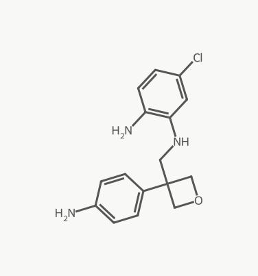 Nc1ccc(C2(CNc3cc(Cl)ccc3N)COC2)cc1